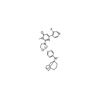 CN(c1ccc([C@H]2CN(c3nc(-c4ccncc4F)cc(=O)n3C)CCO2)cc1)C12CCCC3CC(CC3C1)C2